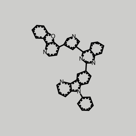 c1ccc(-n2c3ccc(-c4nc(-c5cncc(-c6ccnc7c6oc6ccccc67)c5)c5ccccc5n4)cc3c3ncccc32)cc1